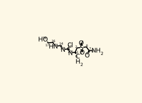 C=C(CS(=O)(=O)CC(N)=O)/N=C(Cl)/N=C/NCCO